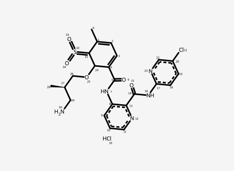 CC1=CC=C(C(=O)Nc2cccnc2C(=O)Nc2ccc(Cl)cn2)C(OC[C@H](C)CN)C1=S(=O)=O.Cl